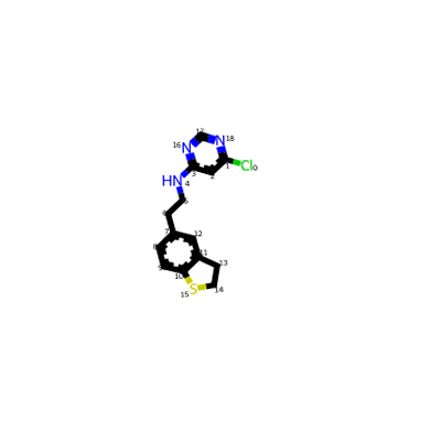 Clc1cc(NCCc2ccc3c(c2)CCS3)ncn1